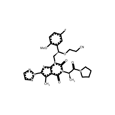 COc1ccc(F)cc1[C@H](Cn1c(=O)n([C@H](C)C(=O)N2CCCC2)c(=O)c2c(C)c(-n3nccn3)sc21)OCCC#N